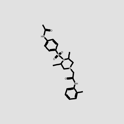 CC(=O)Nc1ccc(S(=O)(=O)N2C(C)CN(CC(=O)Nc3ccccc3C)CC2C)cc1